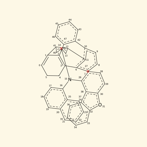 C1=C2C3=C(CC1)c1cccc(c1-c1cc(N(c4cccc5ccccc45)c4cccc5oc6ccccc6c45)ccc12)-c1ccccc13